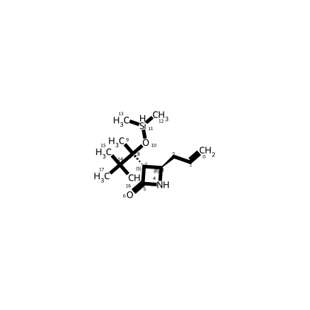 C=CC[C@H]1NC(=O)[C@@H]1C(C)(O[SiH](C)C)C(C)(C)C